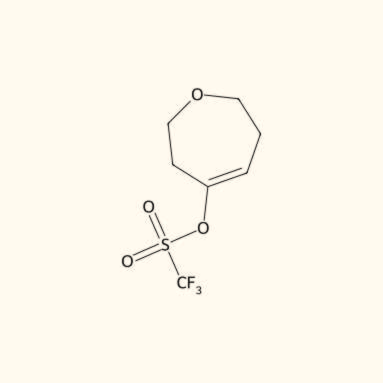 O=S(=O)(OC1=CCCOCC1)C(F)(F)F